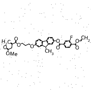 C=COC(=O)c1ccc(C(=O)Oc2ccc3c(c2)C(C)c2cc(OCCCOC(=O)C(=C)CC(=O)OC)ccc2-3)cc1F